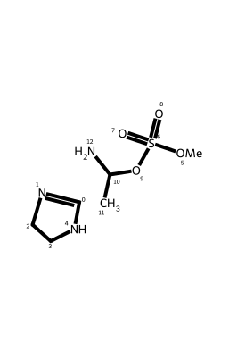 C1=NCCN1.COS(=O)(=O)OC(C)N